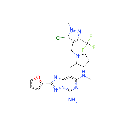 CNc1nc(N)n2nc(-c3ccco3)nc2c1CC1CCCN1Cc1c(C(F)(F)F)nn(C)c1Cl